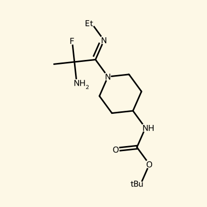 CC/N=C(/N1CCC(NC(=O)OC(C)(C)C)CC1)C(C)(N)F